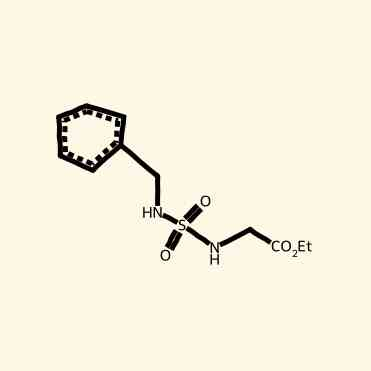 CCOC(=O)CNS(=O)(=O)NCc1ccccc1